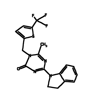 Cc1nc(N2CCc3ccccc32)nc(=O)n1Cc1ccc(C(F)(F)F)s1